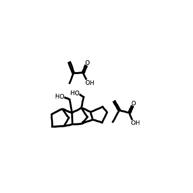 C=C(C)C(=O)O.C=C(C)C(=O)O.OCC12CC(C3CCCC31)C1C3CCC(C3)C12CO